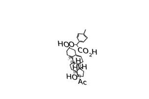 CC(=O)[C@@]1(O)CC[C@H]2[C@@H]3CC=C4CC(O)(OC(C(=O)O)c5ccc(C)cc5)CC[C@]4(C)[C@H]3CC[C@@]21C